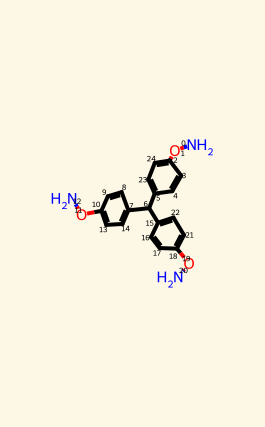 NOc1ccc(C(c2ccc(ON)cc2)c2ccc(ON)cc2)cc1